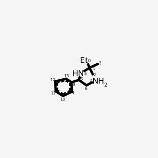 CCC(C)(C)NC(CN)c1ccccc1